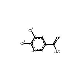 CCC(=O)c1cnc(Cl)c(Cl)c1